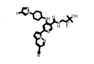 CC(C)(O)[C@H](F)CNC(=O)c1cnc(-c2ccc3cc(C#N)cnn23)cc1NC1CCC(n2cc(F)cn2)CC1